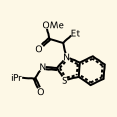 CCC(C(=O)OC)n1c(=NC(=O)C(C)C)sc2ccccc21